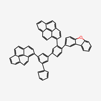 c1ccc(-c2cc(-c3ccc(-c4ccc5oc6ccccc6c5c4)c(-c4ccc5ccc6cccc7ccc4c5c67)c3)cc(-c3ccc4ccc5cccc6ccc3c4c56)c2)cc1